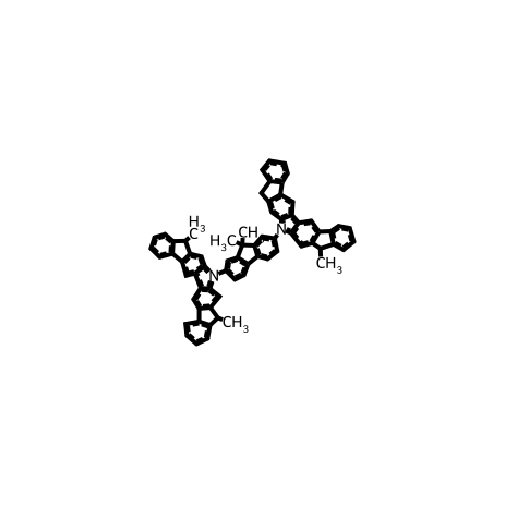 CC1c2ccccc2-c2cc3c4cc5c(cc4n(-c4ccc6c(c4)C(C)(C)c4cc(-n7c8cc9c(cc8c8cc%10c(cc87)C(C)c7ccccc7-%10)-c7ccccc7C9C)ccc4-6)c3cc21)Cc1ccccc1-5